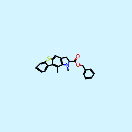 Cc1c2c(cc3sc4ccccc4c13)CC(C(=O)OCc1ccccc1)N2C